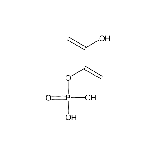 C=C(O)C(=C)OP(=O)(O)O